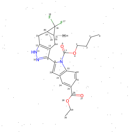 CCCCOC(=O)n1c(-c2n[nH]c3c2C[C@@H]2C(F)(F)[C@]2(C)C3)cc2cc(C(=O)OCC)ccc21